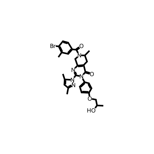 Cc1cc(C)n(-c2nc3c(c(=O)n2-c2ccc(OCC(C)O)cc2)CC(C)N(C(=O)c2ccc(Br)c(C)c2)C3)n1